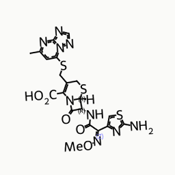 CO/N=C(\C(=O)N[C@@H]1C(=O)N2C(C(=O)O)=C(CSc3cc(C)nc4ncnn34)CS[C@H]12)c1csc(N)n1